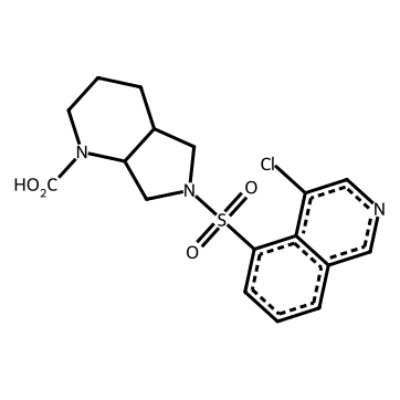 O=C(O)N1CCCC2CN(S(=O)(=O)c3cccc4cncc(Cl)c34)CC21